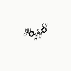 N#Cc1cccc(NC(=S)Nc2ccc(C(N)=O)cc2)c1